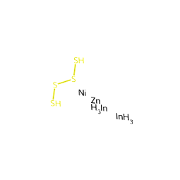 SSSS.[InH3].[InH3].[Ni].[Zn]